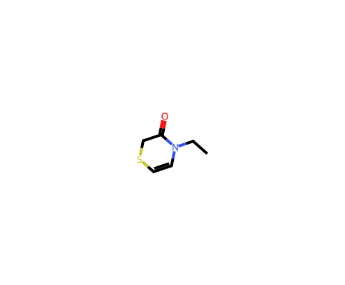 CCN1C=CSCC1=O